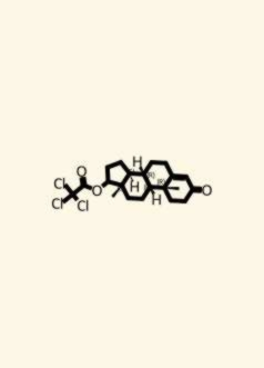 C[C@]12CCC(=O)C=C1CC[C@@H]1[C@H]2CC[C@]2(C)C(OC(=O)C(Cl)(Cl)Cl)CC[C@@H]12